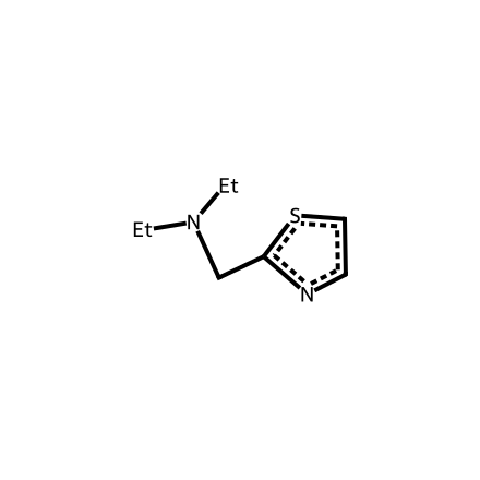 CCN(CC)Cc1nccs1